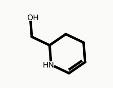 OCC1CCC=CN1